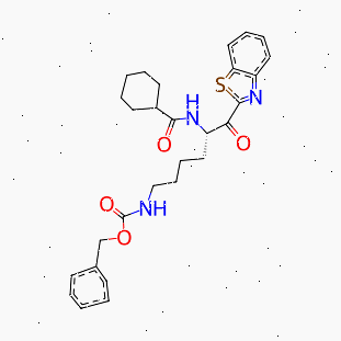 O=C(NCCCC[C@H](NC(=O)C1CCCCC1)C(=O)c1nc2ccccc2s1)OCc1ccccc1